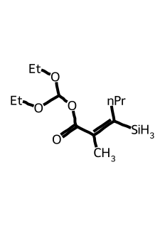 CCCC([SiH3])=C(C)C(=O)OC(OCC)OCC